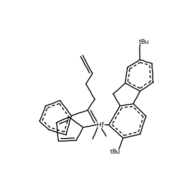 C=CCC[C](c1ccccc1)=[Hf]([CH3])([CH3])([c]1c(C(C)(C)C)ccc2c1Cc1cc(C(C)(C)C)ccc1-2)[CH]1C=CC=C1